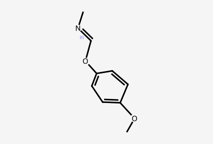 C/N=C/Oc1ccc(OC)cc1